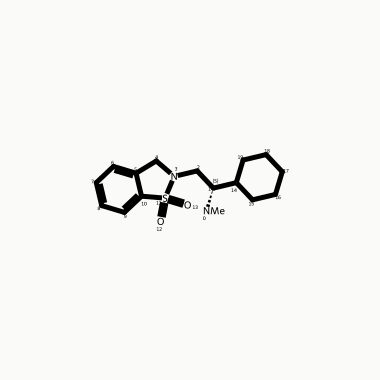 CN[C@H](CN1Cc2ccccc2S1(=O)=O)C1CCCCC1